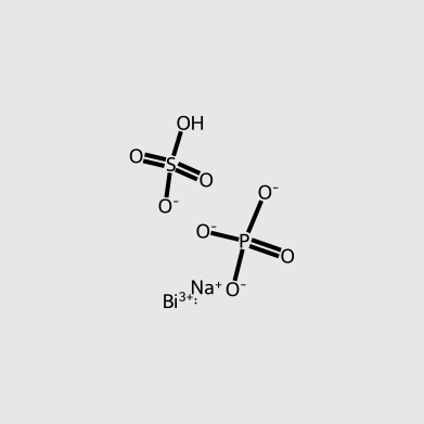 O=P([O-])([O-])[O-].O=S(=O)([O-])O.[Bi+3].[Na+]